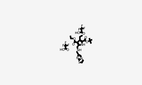 CCOC(=O)c1c(CNCc2cn3ccsc3n2)[nH]c(C(=O)OC(C)(C)C)c1CC.O=C(O)C(F)(F)F.O=C(O)C(F)(F)F